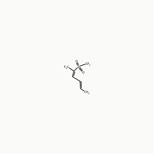 C/C=C/C=C(/C(F)(F)F)S(=O)(=O)C(F)(F)F